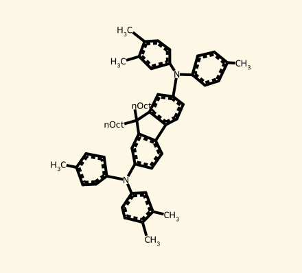 CCCCCCCCC1(CCCCCCCC)c2cc(N(c3ccc(C)cc3)c3ccc(C)c(C)c3)ccc2-c2ccc(N(c3ccc(C)cc3)c3ccc(C)c(C)c3)cc21